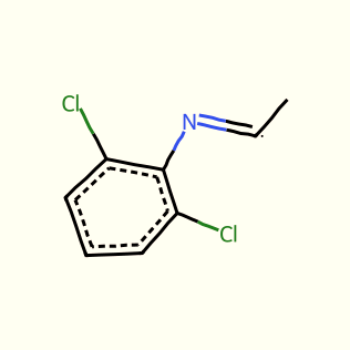 C[C]=Nc1c(Cl)cccc1Cl